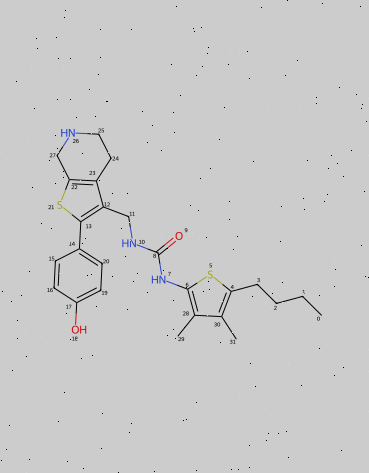 CCCCc1sc(NC(=O)NCc2c(-c3ccc(O)cc3)sc3c2CCNC3)c(C)c1C